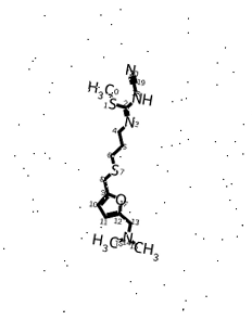 CS/C(=N\CCCSCc1ccc(CN(C)C)o1)NC#N